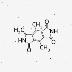 C=C1NC(=O)c2c(C)c3c(c(C)c21)C(=O)NC3=O